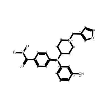 CCN(CC)C(=O)c1ccc(N(c2cccc(O)c2)C2CCN(Cc3ccoc3)CC2)cc1